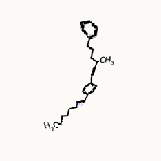 C=CCCCC/C=C/c1ccc(C#CC(C)CCCc2ccccc2)cc1